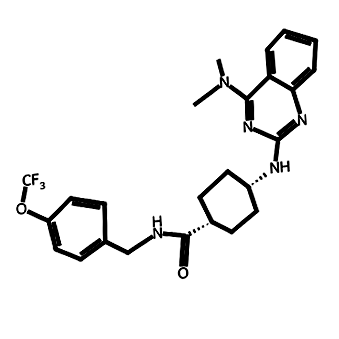 CN(C)c1nc(N[C@H]2CC[C@@H](C(=O)NCc3ccc(OC(F)(F)F)cc3)CC2)nc2ccccc12